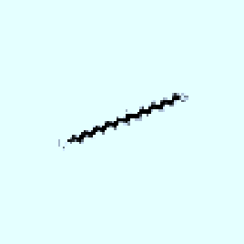 CCCCCCCCCCC=CCCCCCCC[C]=O